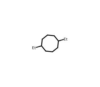 CCC1CCCC(CC)CCC1